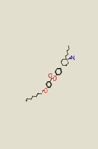 CCCCCCCCOc1ccc(C(=O)Oc2ccc([C@H]3CC[C@@](C#N)(CCCCC)CC3)cc2)cc1